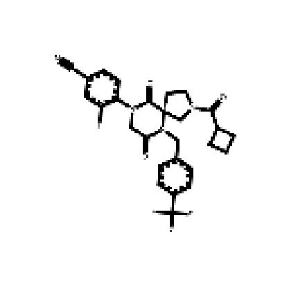 N#Cc1ccc(N2CC(=O)N(Cc3ccc(C(F)(F)F)cc3)[C@]3(CCN(C(=O)C4CCC4)C3)C2=O)c(F)c1